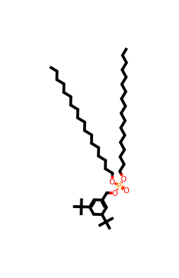 CCCCCCCCCCCCCCCCCCOP(=O)(OCCCCCCCCCCCCCCCCCC)OCC1=CC(C(C)(C)C)CC(C(C)(C)C)=C1